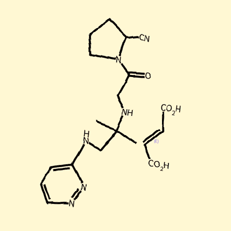 CC(C)(CNc1cccnn1)NCC(=O)N1CCCC1C#N.O=C(O)/C=C/C(=O)O